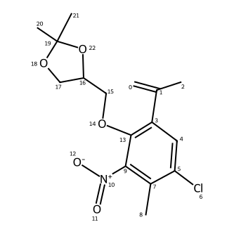 C=C(C)c1cc(Cl)c(C)c([N+](=O)[O-])c1OCC1COC(C)(C)O1